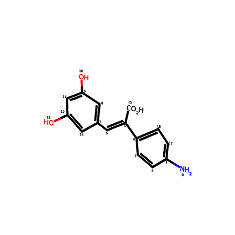 Nc1ccc(C(=Cc2cc(O)cc(O)c2)C(=O)O)cc1